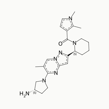 Cc1cn2nc([C@@H]3CCCCN3C(=O)c3ccn(C)c3C)cc2nc1N1CC[C@H](N)C1